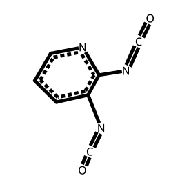 O=C=Nc1cccnc1N=C=O